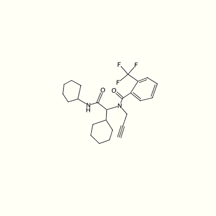 C#CCN(C(=O)c1ccccc1C(F)(F)F)C(C(=O)NC1CCCCC1)C1CCCCC1